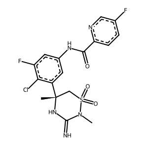 CN1C(=N)N[C@](C)(c2cc(NC(=O)c3ccc(F)cn3)cc(F)c2Cl)CS1(=O)=O